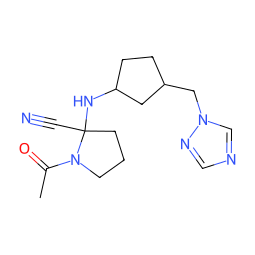 CC(=O)N1CCCC1(C#N)NC1CCC(Cn2cncn2)C1